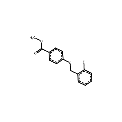 COC(=O)c1ccc(OCc2ccccc2F)cc1